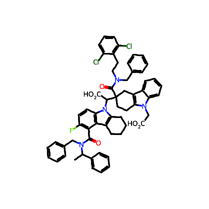 CC(c1ccccc1)N(Cc1ccccc1)C(=O)c1c(F)ccc2c1c1c(n2C(C(=O)O)C2(C(=O)N(CCc3c(Cl)cccc3Cl)Cc3ccccc3)CCc3c(c4ccccc4n3CC(=O)O)C2)CCCC1